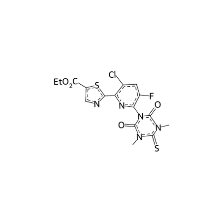 CCOC(=O)c1cnc(-c2nc(-n3c(=O)n(C)c(=S)n(C)c3=O)c(F)cc2Cl)s1